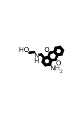 Nc1ccc(CNCCO)c2c1C(=O)c1ccccc1C2=O